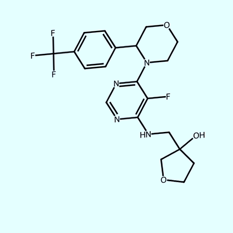 OC1(CNc2ncnc(N3CCOCC3c3ccc(C(F)(F)F)cc3)c2F)CCOC1